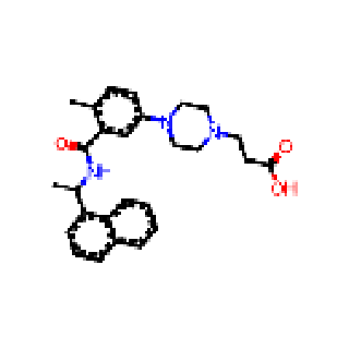 Cc1ccc(N2CCN(CCC(=O)O)CC2)cc1C(=O)N[C@H](C)c1cccc2ccccc12